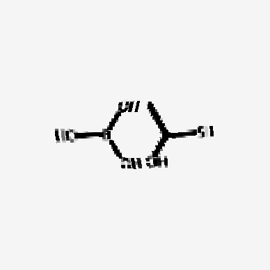 CC(O)S.OB(O)O